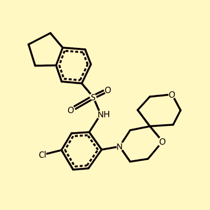 O=S(=O)(Nc1cc(Cl)ccc1N1CCOC2(CCOCC2)C1)c1ccc2c(c1)CCC2